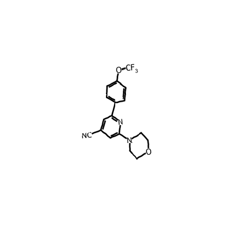 N#Cc1cc(-c2ccc(OC(F)(F)F)cc2)nc(N2CCOCC2)c1